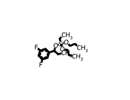 CCCO[Si](CC)(OCCC)OC(CC)c1cc(F)cc(F)c1